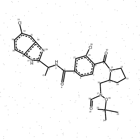 CC(NC(=O)c1ccc(C(=O)N2CCCC2CN(C=O)OC(C)(C)C)c(Cl)c1)c1nc2cc(Cl)ccc2[nH]1